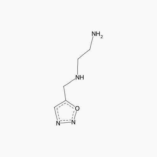 NCCNCc1cnno1